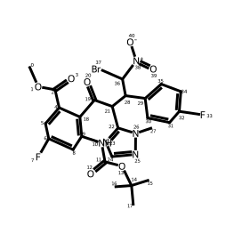 COC(=O)c1cc(F)cc(NC(=O)OC(C)(C)C)c1C(=O)C(c1ncnn1C)C(c1ccc(F)cc1)C(Br)[N+](=O)[O-]